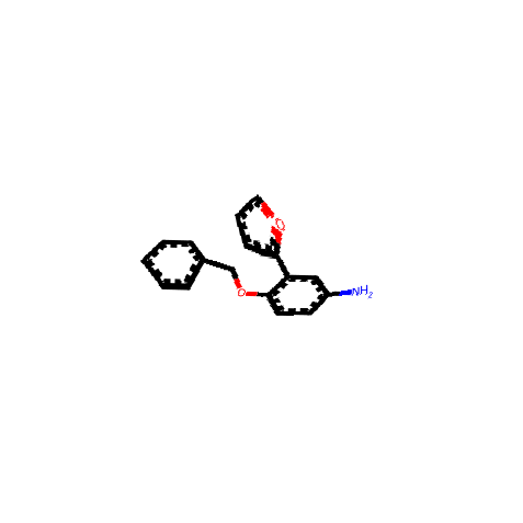 Nc1ccc(OCc2ccccc2)c(-c2ccco2)c1